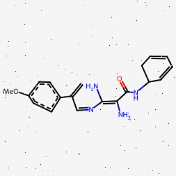 C=C(/C=N\C(N)=C(/N)C(=O)NC1C=CC=CC1)c1ccc(OC)cc1